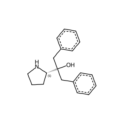 OC(Cc1ccccc1)(Cc1ccccc1)[C@@H]1CCCN1